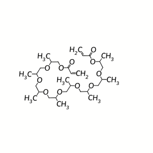 C=CC(=O)OCC(C)OCC(C)OCC(C)OCC(C)OCC(C)OCC(C)OCC(C)OCC(C)OC(=O)C=C